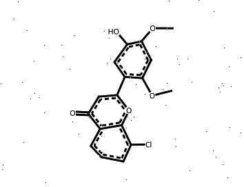 COc1cc(OC)c(-c2cc(=O)c3cccc(Cl)c3o2)cc1O